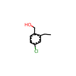 CCc1cc(Cl)ccc1CO